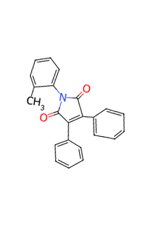 Cc1ccccc1N1C(=O)C(c2ccccc2)=C(c2ccccc2)C1=O